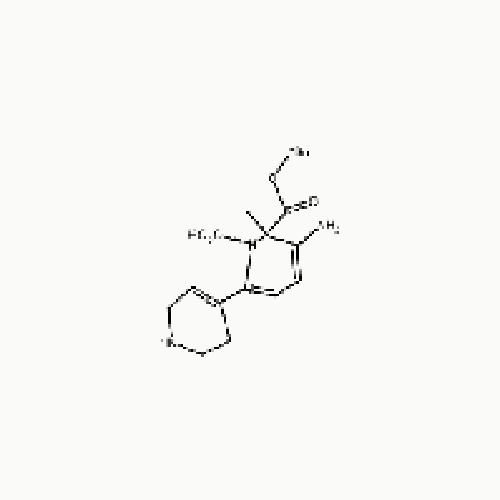 CCCCOC(=O)C1(C)C(N)=CC=C(C2=CCNCC2)N1C(=O)O